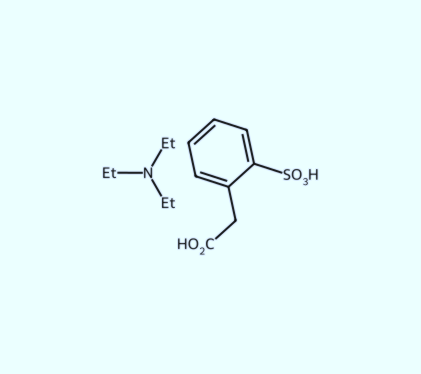 CCN(CC)CC.O=C(O)Cc1ccccc1S(=O)(=O)O